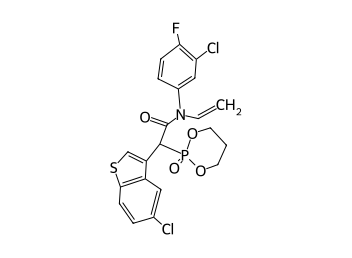 C=CN(C(=O)C(c1csc2ccc(Cl)cc12)P1(=O)OCCCO1)c1ccc(F)c(Cl)c1